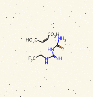 N=C(NCC(F)(F)F)NC(N)=S.O=C(O)/C=C\C(=O)O